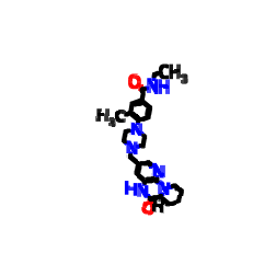 CCNC(=O)c1ccc(N2CCN(Cc3cnc4c(c3)NC(=O)[C@@H]3CCCCN43)CC2)c(C)c1